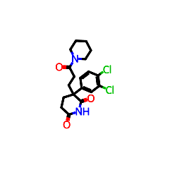 O=C1CCC(CCC(=O)N2CCCCC2)(c2ccc(Cl)c(Cl)c2)C(=O)N1